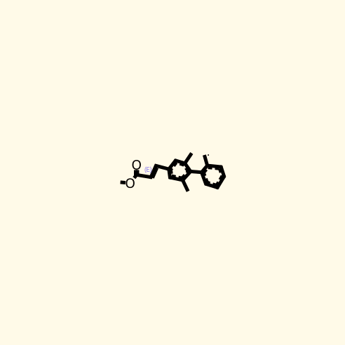 [CH2]c1ccccc1-c1c(C)cc(/C=C/C(=O)OC)cc1C